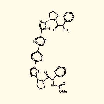 COC(=O)N[C@@H](C(=O)N1CCC[C@H]1c1ncc(-c2ccc(-c3cnc(-c4cnc([C@@H]5CCCN5C(=O)[C@H](C)c5ccccc5)[nH]4)cn3)cc2)[nH]1)c1ccccc1